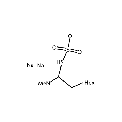 CCCCCCCC(NC)[SH-]S(=O)(=O)[O-].[Na+].[Na+]